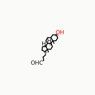 CC12CC[C@@H](O)CC1CCC1[C@@H]2CCC2(C)[C@@H](CCCC=O)CC[C@@H]12